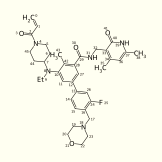 C=CC(=O)N1CCC(N(CC)c2cc(-c3ccc(CN4CCOCC4)c(F)c3)cc(C(=O)NCc3c(C)cc(C)[nH]c3=O)c2C)CC1